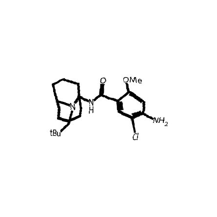 COc1cc(N)c(Cl)cc1C(=O)NC12CCCC(CCC1)N2CC(C)(C)C